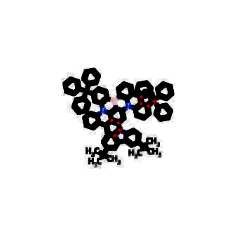 CC(C)(C)c1ccc2c(c1)c1cc(C(C)(C)C)ccc1n2-c1cc2c3c(c1)N(c1cccc([Si](c4ccccc4)(c4ccccc4)c4ccccc4)c1)c1c(cccc1-c1ccccc1)B3c1ccc([Si](c3ccccc3)(c3ccccc3)c3ccccc3)cc1N2c1ccccc1-c1ccccc1